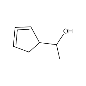 CC(O)C1C=C=CC1